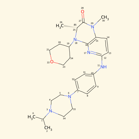 CC(C)N1CCN(c2ccc(Nc3ccc4c(n3)N(C3CCOCC3)[C@H](C)C(=O)N4C)cc2)CC1